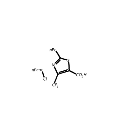 CCCCCCl.CCCc1nc(C(F)(F)F)c(C(=O)O)s1